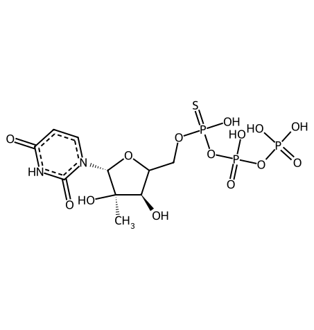 C[C@@]1(O)[C@H](O)C(COP(O)(=S)OP(=O)(O)OP(=O)(O)O)O[C@H]1n1ccc(=O)[nH]c1=O